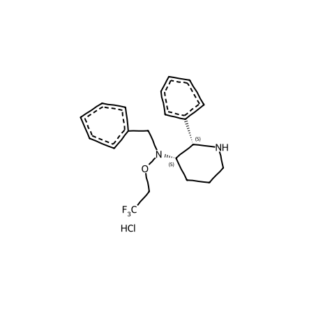 Cl.FC(F)(F)CON(Cc1ccccc1)[C@H]1CCCN[C@H]1c1ccccc1